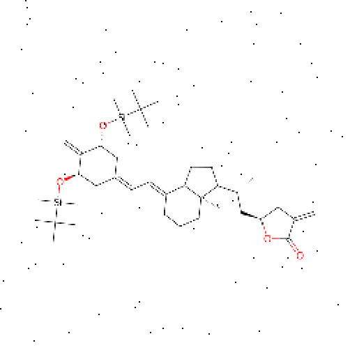 C=C1C[C@H](C[C@@H](C)C2CCC3/C(=C/C=C4C[C@@H](O[Si](C)(C)C(C)(C)C)C(=C)[C@H](O[Si](C)(C)C(C)(C)C)C4)CCC[C@@]32C)OC1=O